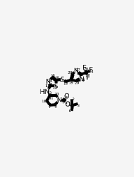 CC(C)(C)OC(=O)N1CCC[C@@H](Nc2ncc(SCc3cnc(C(F)(F)F)nc3)s2)C1